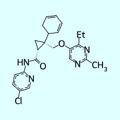 CCc1nc(C)ncc1OC[C@@]1(C2C=CC=CC2)C[C@H]1C(=O)Nc1ccc(Cl)cn1